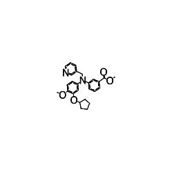 COC(=O)c1cccc(N(Cc2cccnc2)c2ccc(OC)c(OC3CCCC3)c2)c1